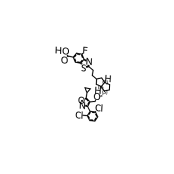 O=C(O)c1cc(F)c2nc(CCC3C[C@H]4CC[C@H](COCc5c(-c6c(Cl)cccc6Cl)noc5C5CC5)[C@H]4C3)sc2c1